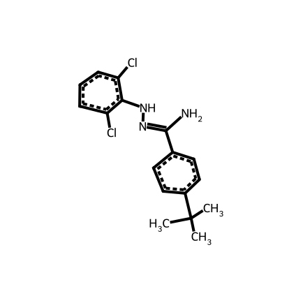 CC(C)(C)c1ccc(/C(N)=N/Nc2c(Cl)cccc2Cl)cc1